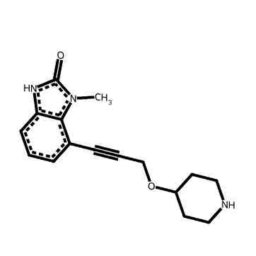 Cn1c(=O)[nH]c2cccc(C#CCOC3CCNCC3)c21